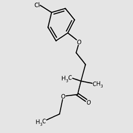 CCOC(=O)C(C)(C)CCOc1ccc(Cl)cc1